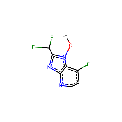 CCOn1c(C(F)F)nc2nccc(F)c21